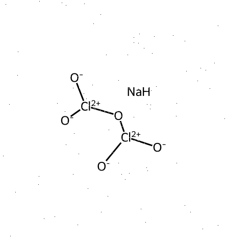 [NaH].[O-][Cl+2]([O-])O[Cl+2]([O-])[O-]